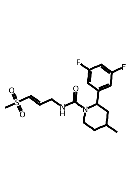 CC1CCN(C(=O)NC/C=C/S(C)(=O)=O)C(c2cc(F)cc(F)c2)C1